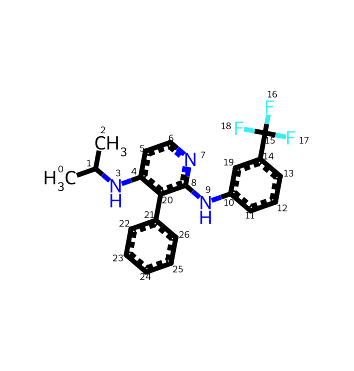 CC(C)Nc1ccnc(Nc2cccc(C(F)(F)F)c2)c1-c1ccccc1